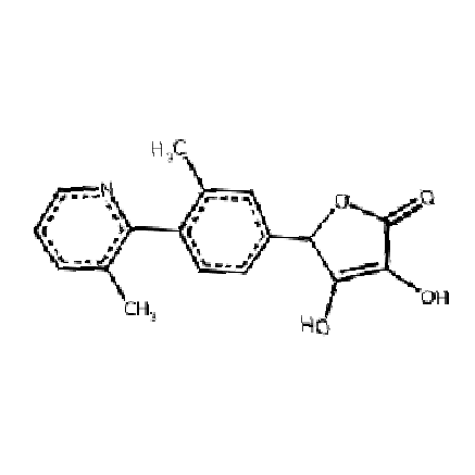 Cc1cc(C2OC(=O)C(O)=C2O)ccc1-c1ncccc1C